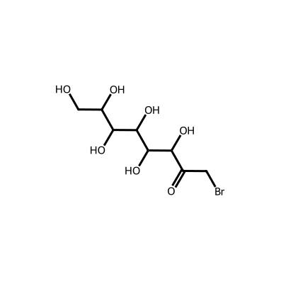 O=C(CBr)C(O)C(O)C(O)C(O)C(O)CO